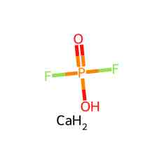 O=P(O)(F)F.[CaH2]